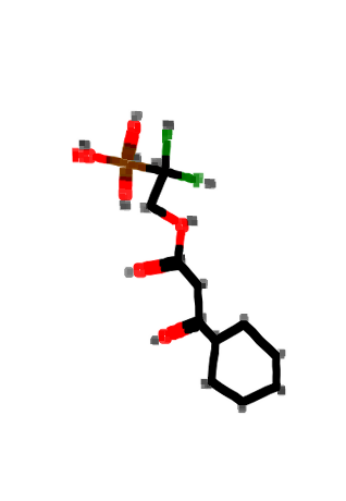 O=C(CC(=O)C1CCCCC1)OCC(F)(F)S(=O)(=O)O